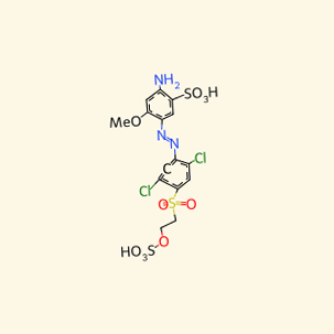 COc1cc(N)c(S(=O)(=O)O)cc1N=Nc1cc(Cl)c(S(=O)(=O)CCOS(=O)(=O)O)cc1Cl